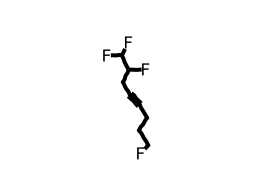 FCCCC#CCC(F)C(F)F